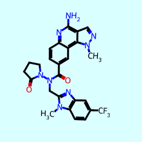 Cn1ncc2c(N)nc3ccc(C(=O)N(Cc4nc5cc(C(F)(F)F)ccc5n4C)N4CCCC4=O)cc3c21